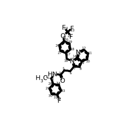 C[C@H](NC(=O)CCc1cc2cccnc2n1Cc1ccc(OC(F)(F)F)cc1)c1ccc(F)cc1